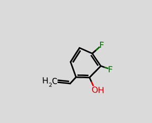 C=Cc1ccc(F)c(F)c1O